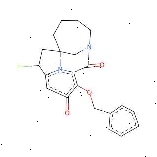 O=C1c2c(OCc3ccccc3)c(=O)cc3n2C2(CCCCN1C2)CC3F